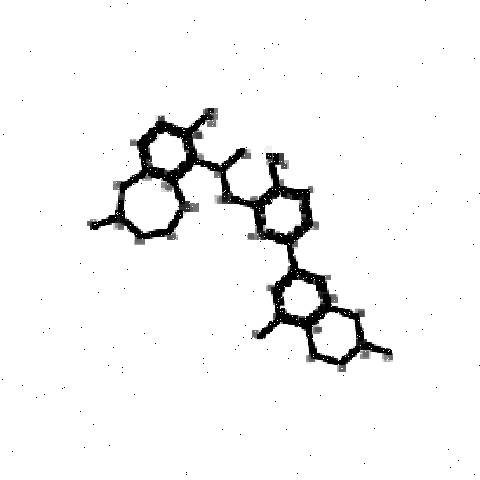 Cc1cc(-c2cnc(N)c(OC(C)c3c(Cl)ccc4c3OCCN(C)C4)n2)cc2c1CCN(C)C2